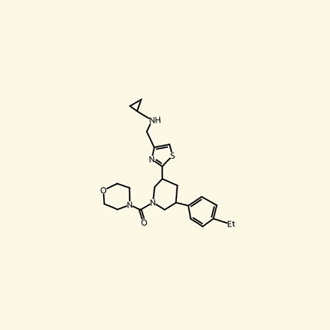 CCc1ccc(C2CC(c3nc(CNC4CC4)cs3)CN(C(=O)N3CCOCC3)C2)cc1